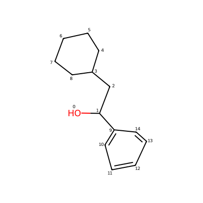 OC(CC1CCCCC1)c1ccccc1